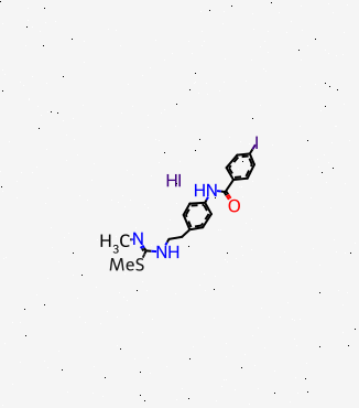 CN=C(NCCc1ccc(NC(=O)c2ccc(I)cc2)cc1)SC.I